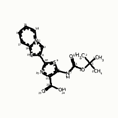 CC(C)(C)OC(=O)Nc1sc(-c2cn3ccccc3n2)nc1C(=O)O